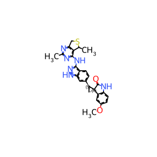 COc1ccc2c(c1)[C@]1(C[C@H]1c1ccc3c(Nc4nc(C)nc5c4C(C)SC5)n[nH]c3c1)C(=O)N2